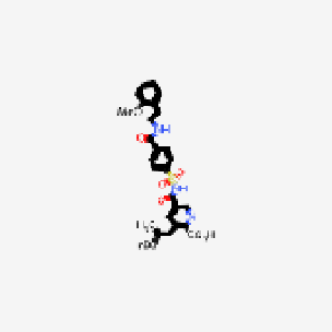 CCCCC(C)Cc1cc(C(=O)NS(=O)(=O)c2ccc(C(=O)NCCc3ccccc3OC)cc2)cnc1C(=O)O